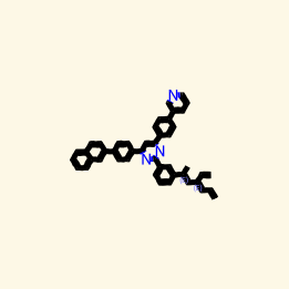 C=C/C=C(C=C)/C=C(\C)c1cccc(-c2nc(-c3ccc(-c4cccnc4)cc3)cc(-c3ccc(-c4ccc5ccccc5c4)cc3)n2)c1